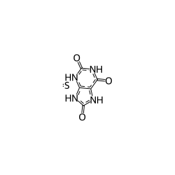 O=c1[nH]c(=O)c2[nH]c(=O)[nH]c2[nH]1.[S]